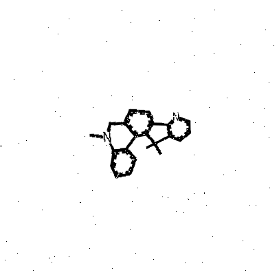 CN1Cc2ccc3c(c2-c2ccccc21)C(C)(C)c1cccnc1-3